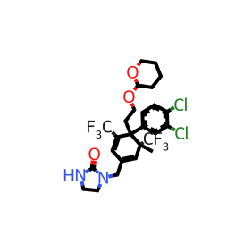 CC1(C(F)(F)F)C=C(CN2CCNC2=O)C=C(C(F)(F)F)C1(CCOC1CCCCO1)c1ccc(Cl)c(Cl)c1